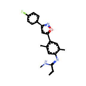 CCC(=Nc1cc(C)c(-c2cc(-c3ccc(F)cc3)no2)cc1C)NC